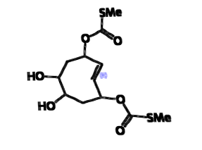 CSC(=O)OC1/C=C/C(OC(=O)SC)CC(O)C(O)C1